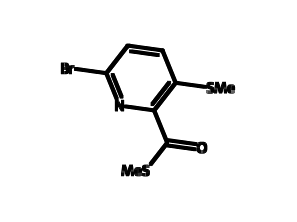 CSC(=O)c1nc(Br)ccc1SC